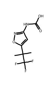 CC(C)(c1cc(NC(=O)O)no1)C(F)(F)F